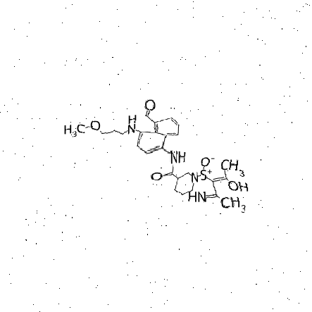 COCCCNc1ccc(NC(=O)C2CCCN([S+]([O-])/C(C(C)=N)=C(\C)O)C2)c2cccc(C=O)c12